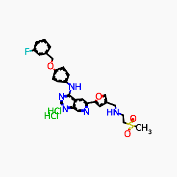 CS(=O)(=O)CCNCc1coc(-c2cc3c(Nc4ccc(OCc5cccc(F)c5)cc4)ncnc3cn2)c1.Cl.Cl